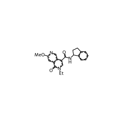 CCn1cc(C(=O)NC2CCc3ccccc32)c2cnc(OC)cc2c1=O